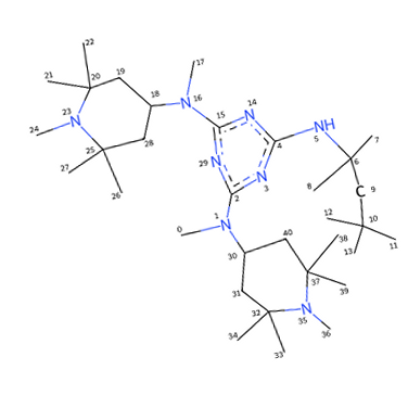 CN(c1nc(NC(C)(C)CC(C)(C)C)nc(N(C)C2CC(C)(C)N(C)C(C)(C)C2)n1)C1CC(C)(C)N(C)C(C)(C)C1